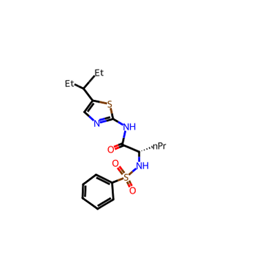 CCC[C@H](NS(=O)(=O)c1ccccc1)C(=O)Nc1ncc(C(CC)CC)s1